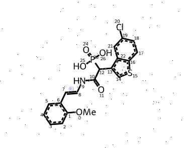 COc1ccccc1/C=C/NC(=O)C(c1csc2ccc(Cl)cc12)P(=O)(O)O